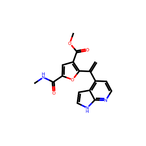 C=C(c1oc(C(=O)NC)cc1C(=O)OC)c1ccnc2[nH]ccc12